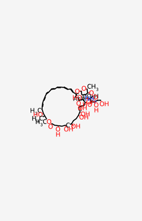 CC(=O)NC1C(OC2C(C)OC(OC3/C=C/C=C/C=C/C=C/C=C/C=C/C=C/C(C)C(O)C(C)C(C)OC(=O)CC(O)CC(O)CC(O)CCC(O)C(O)CC4(O)CC(O)C(C(=O)O)C(C3)O4)C(O)C2N)OC(CO)C(O)C1O